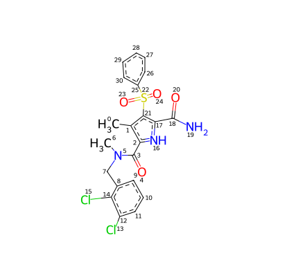 Cc1c(C(=O)N(C)Cc2cccc(Cl)c2Cl)[nH]c(C(N)=O)c1S(=O)(=O)c1ccccc1